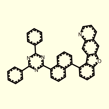 c1ccc(-c2nc(-c3ccccc3)nc(-c3cccc4c(-c5cccc6oc7cc8cccnc8cc7c56)cccc34)n2)cc1